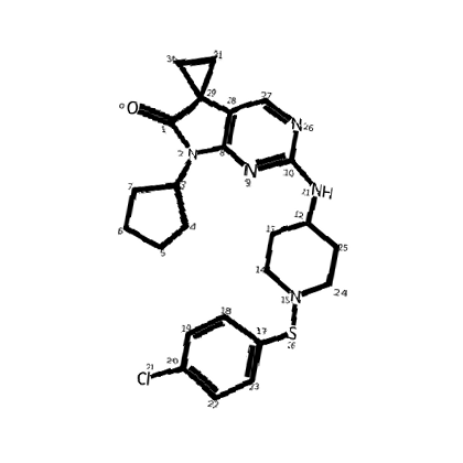 O=C1N(C2CCCC2)c2nc(NC3CCN(Sc4ccc(Cl)cc4)CC3)ncc2C12CC2